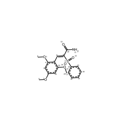 COc1cc(OC)c(/C=C(/C(N)=O)S(=O)(=O)c2ccccc2)c(OC)c1